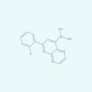 OB(O)c1cc(-c2ccccc2F)nc2nccnc12